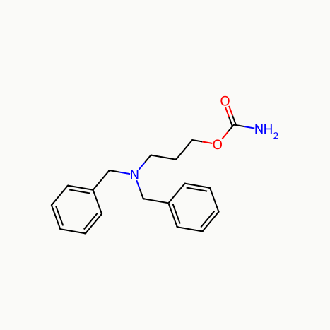 NC(=O)OCCCN(Cc1ccccc1)Cc1ccccc1